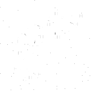 CC[C@]1(O)CC[C@@]2(C)[C@@H](CC[C@@H]3[C@@H]2CC[C@]2(C)[C@@H]([C@H](CCCC(C)(C)O)C(F)(F)F)CC[C@@H]32)C1